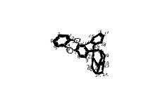 c1ccc2c(c1)Oc1ccc3c(c1O2)-c1ccccc1C31C2CC3CC(C2)CC1C3